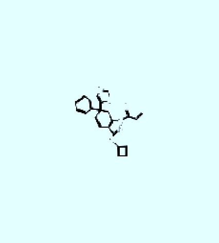 C=CC(=O)n1nc(NC2CCC2)c2c1CC(c1ccccc1)(c1cncs1)C=C2